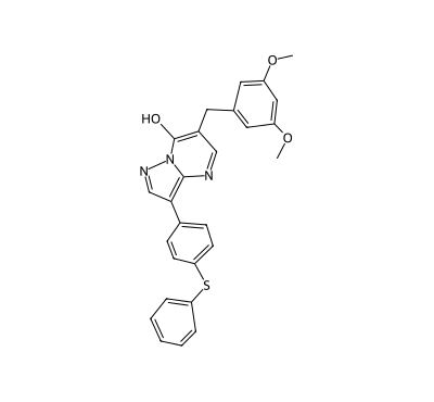 COc1cc(Cc2cnc3c(-c4ccc(Sc5ccccc5)cc4)cnn3c2O)cc(OC)c1